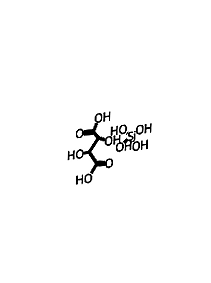 O=C(O)C(O)C(O)C(=O)O.O[Si](O)(O)O